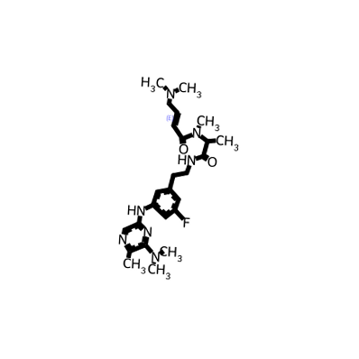 Cc1ncc(Nc2cc(F)cc(CCNC(=O)C(C)N(C)C(=O)/C=C/CN(C)C)c2)nc1N(C)C